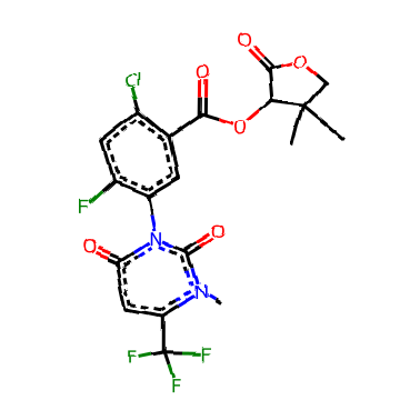 Cn1c(C(F)(F)F)cc(=O)n(-c2cc(C(=O)OC3C(=O)OCC3(C)C)c(Cl)cc2F)c1=O